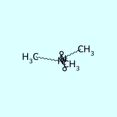 CCCCCCCCCCCCCC[n+]1c(CC(C)c2ccccc2)cn(CCCCCCCCCCC)c1Cc1ccccc1